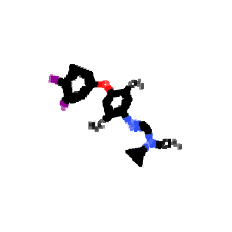 Cc1cc(Oc2ccc(I)c(I)c2)c(C)cc1/N=C/N(C)C1CC1